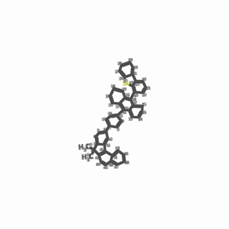 CC1(C)c2ccc(-c3ccc(-c4c5ccccc5c(-c5cccc6c5sc5ccccc56)c5ccccc45)cc3)cc2-c2c1ccc1ccccc21